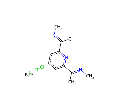 CN=C(C)c1cccc(C(C)=NC)n1.[Cl-].[Cl-].[Cl-].[Fe+3]